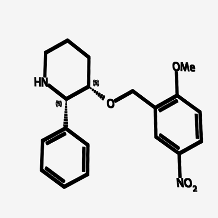 COc1ccc([N+](=O)[O-])cc1CO[C@H]1CCCN[C@H]1c1ccccc1